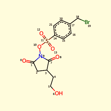 O=C1CC(CCO)C(=O)N1OS(=O)(=O)c1ccc(CBr)cc1